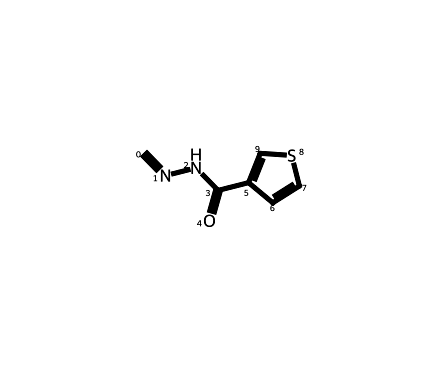 C=NNC(=O)c1ccsc1